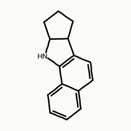 c1ccc2c3c(ccc2c1)C1CCCC1N3